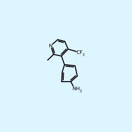 Cc1nccc(C(F)(F)F)c1-c1ccc(N)cc1